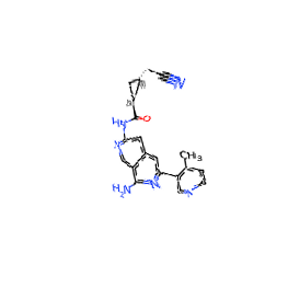 Cc1ccncc1-c1cc2cc(NC(=O)[C@H]3C[C@@H]3CC#N)ncc2c(N)n1